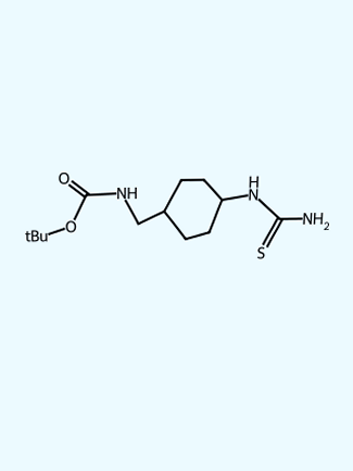 CC(C)(C)OC(=O)NCC1CCC(NC(N)=S)CC1